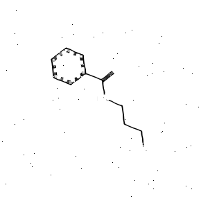 O=C(NCCCBr)c1ccccc1